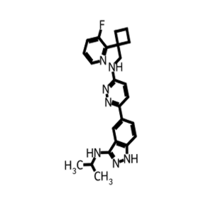 CC(C)Nc1n[nH]c2ccc(-c3ccc(NCC4(c5ncccc5F)CCC4)nn3)cc12